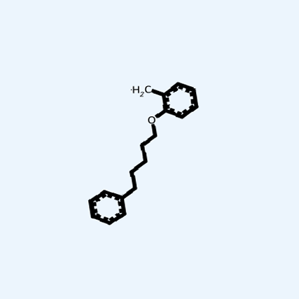 [CH2]c1ccccc1OCCCCCc1ccccc1